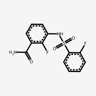 NC(=O)c1cccc(NS(=O)(=O)c2ccccc2F)c1F